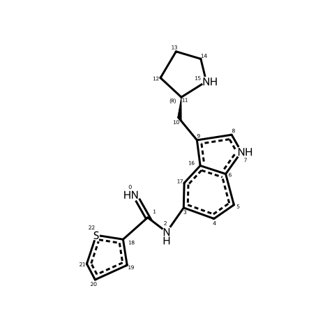 N=C(Nc1ccc2[nH]cc(C[C@H]3CCCN3)c2c1)c1cccs1